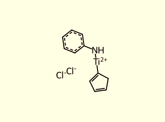 C1=CC[C]([Ti+2][NH]c2ccccc2)=C1.[Cl-].[Cl-]